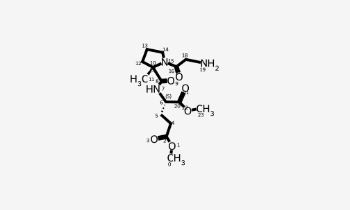 COC(=O)CC[C@H](NC(=O)[C@]1(C)CCCN1C(=O)CN)C(=O)OC